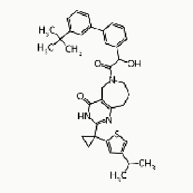 CC(C)c1csc(C2(c3nc4c(c(=O)[nH]3)CN(C(=O)C(O)c3cccc(-c5cccc(C(C)(C)C)c5)c3)CCC4)CC2)c1